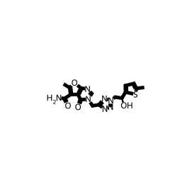 Cc1ccc([C@@H](O)Cn2nnc(Cn3cnc4oc(C)c(C(N)=O)c4c3=O)n2)s1